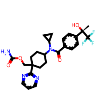 C[C@](O)(c1ccc(C(=O)N(C2CC2)C2CCC(COC(N)=O)(c3ncccn3)CC2)cc1)C(F)(F)F